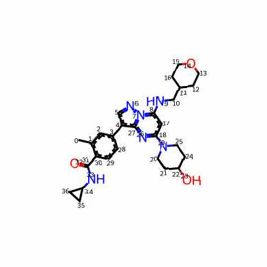 Cc1cc(-c2cnn3c(NCC4CCOCC4)cc(N4CCC(O)CC4)nc23)ccc1C(=O)NC1CC1